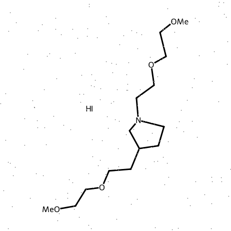 COCCOCCC1CCN(CCOCCOC)C1.I